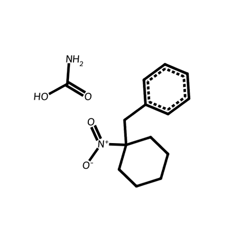 NC(=O)O.O=[N+]([O-])C1(Cc2ccccc2)CCCCC1